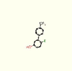 Cc1ccc(-c2cc(O)ccc2F)cc1